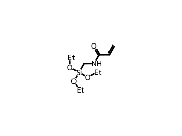 C=CC(=O)NC[Si](OCC)(OCC)OCC